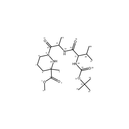 COC(=O)C1(C)CCCN(C(=O)C(C)NC(=O)C(NC(=O)OC(C)(C)C)C(C)C)N1